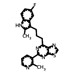 Cc1ncccc1-c1nc(CCCc2c(C)[nH]c3ccc(F)cc23)c2ncsc2n1